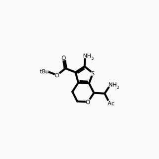 CC(=O)C(N)C1OCCc2c1sc(N)c2C(=O)OC(C)(C)C